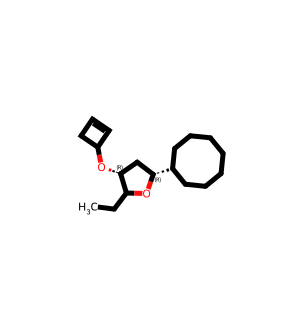 CCC1O[C@@H](C2CCCCCCC2)C[C@H]1OC1C=CC1